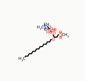 CCCCCCCCCCCCCCCCOC(CCS(C)(=O)=O)COP(=O)(O)OCC[N+](C)(C)C